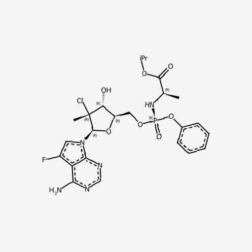 CC(C)OC(=O)[C@@H](C)N[P@@](=O)(OC[C@H]1O[C@@H](n2cc(F)c3c(N)ncnc32)[C@](C)(Cl)[C@@H]1O)Oc1ccccc1